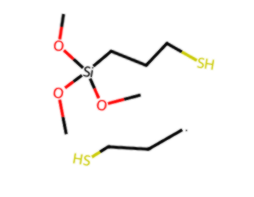 CO[Si](CCCS)(OC)OC.[CH2]CCS